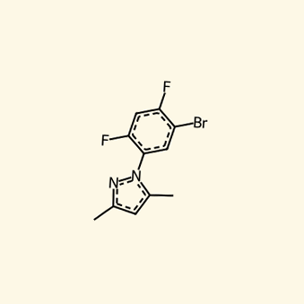 Cc1cc(C)n(-c2cc(Br)c(F)cc2F)n1